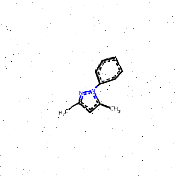 Cc1cc(C)n(-c2ccccc2)n1